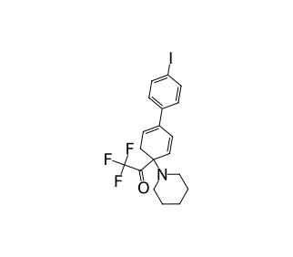 O=C(C(F)(F)F)C1(N2CCCCC2)C=CC(c2ccc(I)cc2)=CC1